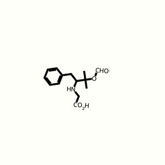 CC(C)(O[C]=O)C(Cc1ccccc1)NCC(=O)O